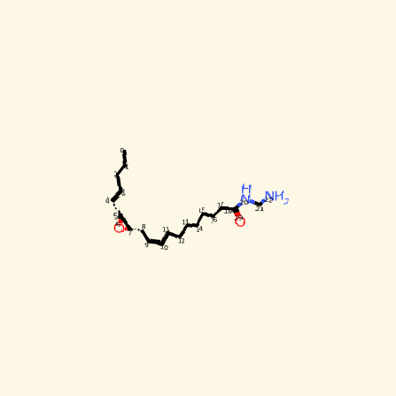 CCCCC[C@H]1O[C@H]1C/C=C\CCCCCCCC(=O)NCN